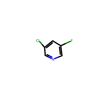 Fc1cn[c]c(Cl)c1